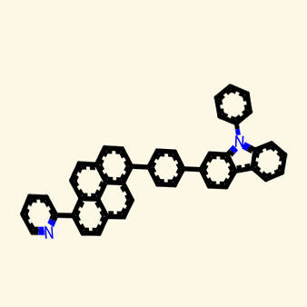 c1ccc(-n2c3ccccc3c3ccc(-c4ccc(-c5ccc6ccc7c(-c8ccccn8)ccc8ccc5c6c87)cc4)cc32)cc1